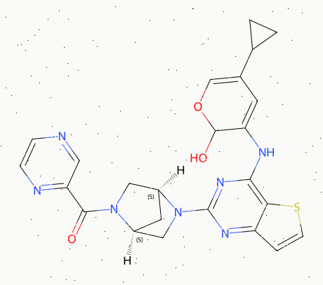 O=C(c1cnccn1)N1C[C@@H]2C[C@H]1CN2c1nc(NC2=CC(C3CC3)=COC2O)c2sccc2n1